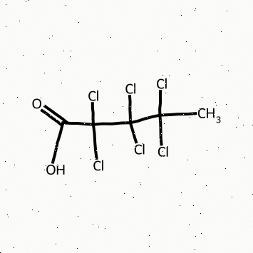 CC(Cl)(Cl)C(Cl)(Cl)C(Cl)(Cl)C(=O)O